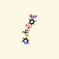 CC(C)(COC(=O)Oc1ccc([N+](=O)[O-])cc1)SSc1ccncc1